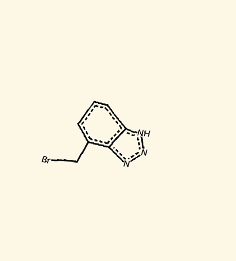 BrCc1cccc2[nH]nnc12